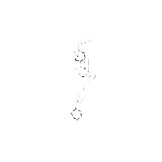 O=C(NS(=O)(=O)CCCCOCc1ccccc1)c1ccc(CO)nc1